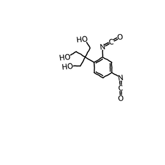 O=C=Nc1ccc(C(CO)(CO)CO)c(N=C=O)c1